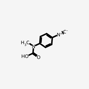 [C-]#[N+]c1ccc(N(C)C(=O)O)cc1